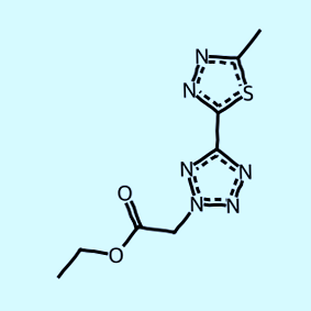 CCOC(=O)Cn1nnc(-c2nnc(C)s2)n1